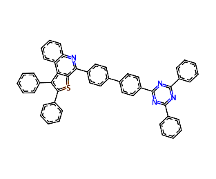 c1ccc(-c2nc(-c3ccccc3)nc(-c3ccc(-c4ccc(-c5nc6ccccc6c6c(-c7ccccc7)c(-c7ccccc7)sc56)cc4)cc3)n2)cc1